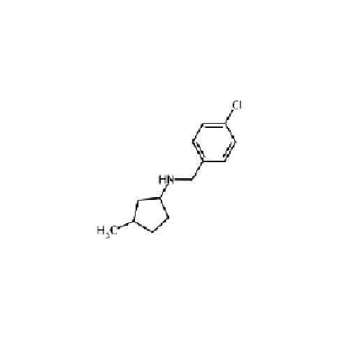 CC1CCC(NCc2ccc(Cl)cc2)C1